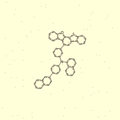 c1cc(-c2cc3c4ccccc4sc3c3oc4ccccc4c23)cc(N(c2ccc(-c3ccc4ccccc4c3)cc2)c2cccc3ccccc23)c1